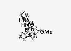 COCCCN1C(=O)[C@@H](NC(=O)c2cc3ccccc3[nH]2)N=C(c2ccccc2)c2ccccc21